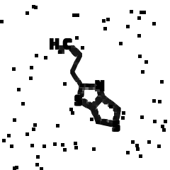 C=CCc1nc2cscc2s1